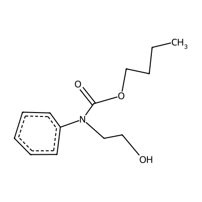 CCCCOC(=O)N(CCO)c1ccccc1